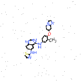 Cc1cc(Nc2ncnc3ccc(Nc4nccs4)cc23)ccc1Oc1ccn2ccnc2c1